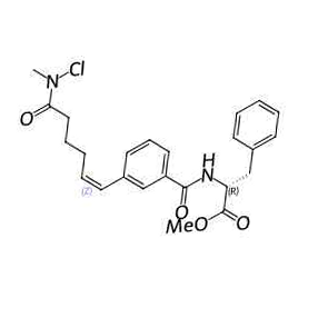 COC(=O)[C@@H](Cc1ccccc1)NC(=O)c1cccc(/C=C\CCCC(=O)N(C)Cl)c1